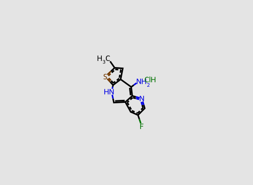 Cc1cc2c(s1)NC=c1cc(F)cnc1=C2N.Cl